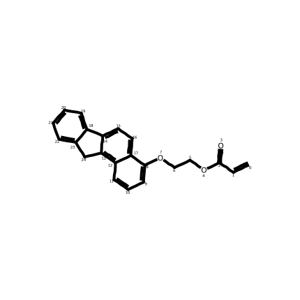 C=CC(=O)OCCOc1cccc2c3c(ccc12)-c1ccccc1C3